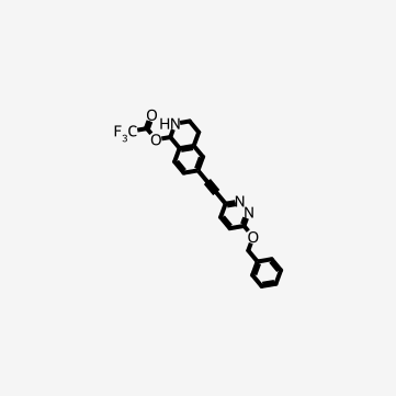 O=C(OC1NCCc2cc(C#Cc3ccc(OCc4ccccc4)nn3)ccc21)C(F)(F)F